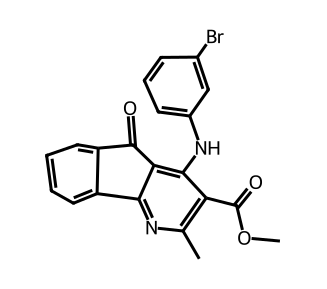 COC(=O)c1c(C)nc2c(c1Nc1cccc(Br)c1)C(=O)c1ccccc1-2